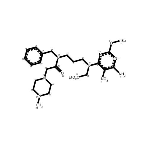 CCCCOc1nc(N)c([N+](=O)[O-])c(N(CCCN(Cc2ccccc2)C(=O)CN2CCN(C)CC2)CC(=O)OCC)n1